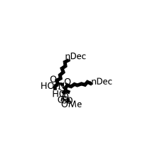 CCCCCCCCCCCCCCCCCC(=O)C(C(C)O)[N+](C)(C)C(C(=O)CCCCCCCCCCCCCCCCC)C(C)O.COS(=O)(=O)[O-]